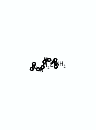 C=C1N(c2ccc3oc4ccc(-c5ccc6oc7ccc(-n8c9ccccc9c9ccccc98)cc7c6c5)cc4c3c2)c2ccccc2N1c1ccccc1N